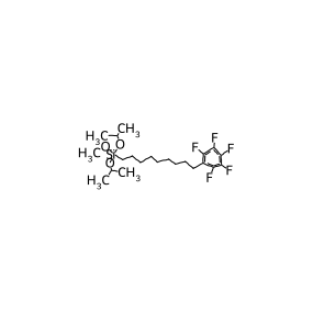 CO[Si](CCCCCCCCCc1c(F)c(F)c(F)c(F)c1F)(OC(C)C)OC(C)C